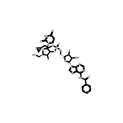 O=C(Nc1ncnc2c1ncn2[C@@H]1O[C@H](COP(=S)(OCCC2C=N2)OC2C(F)[C@@H](CO)O[C@H]2n2ccc(=O)[nH]c2=O)C(F)C1O)c1ccccc1